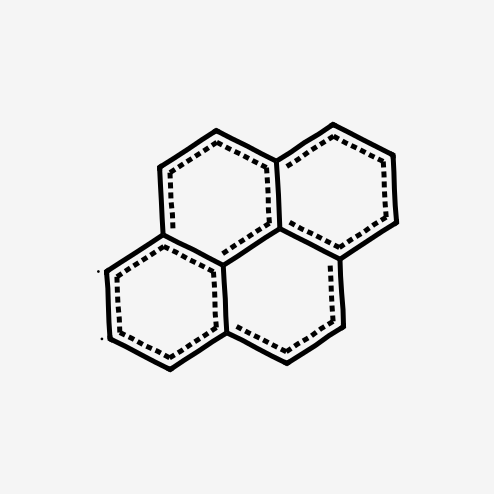 [c]1[c]c2ccc3cccc4ccc(c1)c2c34